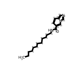 CCCCCCCCCCCCNC(=O)c1ccc2cncn2c1